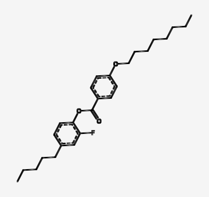 CCCCCCCCOc1ccc(C(=O)Oc2ccc(CCCCC)cc2F)cc1